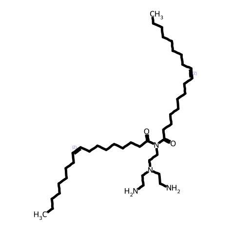 CCCCCCCC/C=C\CCCCCCCC(=O)N(CCN(CCN)CCN)C(=O)CCCCCCC/C=C\CCCCCCCC